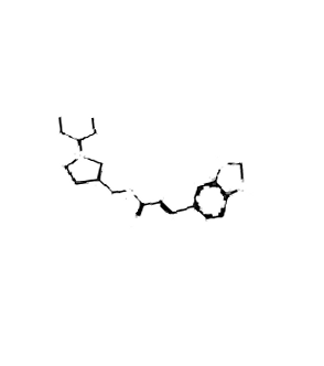 CCC(CC)N1CCC(CNC(=O)C=Cc2ccc3c(c2)OCO3)C1